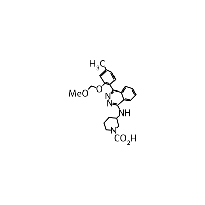 COCOc1cc(C)ccc1-c1nnc(NC2CCCN(C(=O)O)C2)c2ccccc12